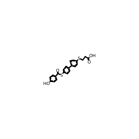 O=C(O)CCSc1ccc(-c2ccc(SC(=O)c3ccc(O)cc3)cc2)cc1